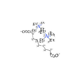 CC[N+](CC)(CC)CC.CC[N+](CC)(CC)CC.O=C([O-])CCCCCCCC(=O)[O-]